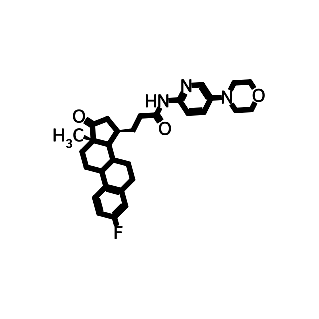 C[C@]12CCC3c4ccc(F)cc4CCC3C1[C@H](CCC(=O)Nc1ccc(N3CCOCC3)cn1)CC2=O